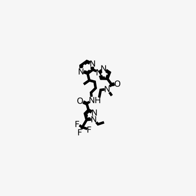 CCN(C)C(=O)c1cnn(-c2nccnc2C(C)CCCNC(=O)c2cc(C(F)(F)F)n(CC)n2)c1